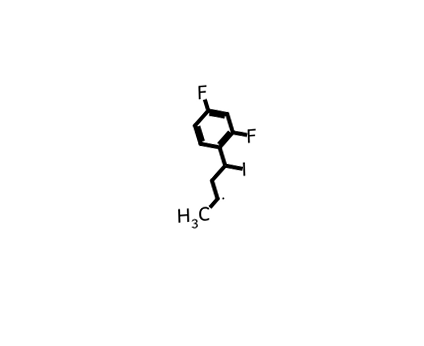 C[CH]CC(I)c1ccc(F)cc1F